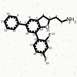 NCCC1Cc2cc(-c3ccccc3)cc(-c3ccc(F)cc3F)c2O1